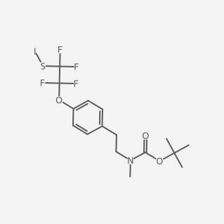 CN(CCc1ccc(OC(F)(F)C(F)(F)SI)cc1)C(=O)OC(C)(C)C